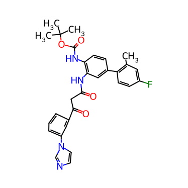 Cc1cc(F)ccc1-c1ccc(NC(=O)OC(C)(C)C)c(NC(=O)CC(=O)c2cccc(-n3ccnc3)c2)c1